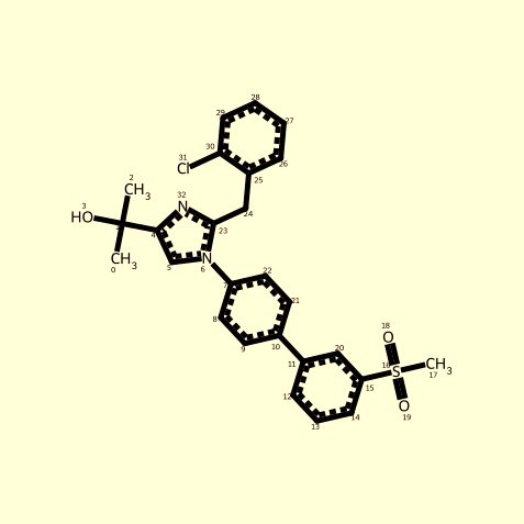 CC(C)(O)c1cn(-c2ccc(-c3cccc(S(C)(=O)=O)c3)cc2)c(Cc2ccccc2Cl)n1